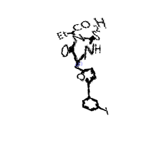 CCC(C(=O)O)N1C(=O)/C(=C/c2ccc(-c3cccc(I)c3)o2)NC1=S